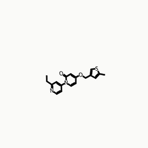 CCc1cc(-n2ccc(OCc3csc(C)c3)cc2=O)ccn1